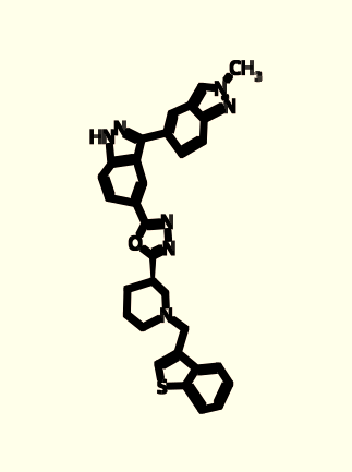 Cn1cc2cc(-c3n[nH]c4ccc(-c5nnc([C@@H]6CCCN(Cc7csc8ccccc78)C6)o5)cc34)ccc2n1